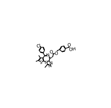 Cc1sc2c(c1C)C(c1ccc(Cl)cc1)=N[C@@H](CC(=O)OCc1ccc(C(=O)O)cc1)c1nnc(C)n1-2